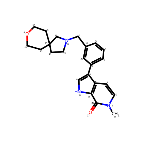 Cn1ccc2c(-c3cccc(CN4CCC5(CCOCC5)C4)c3)c[nH]c2c1=O